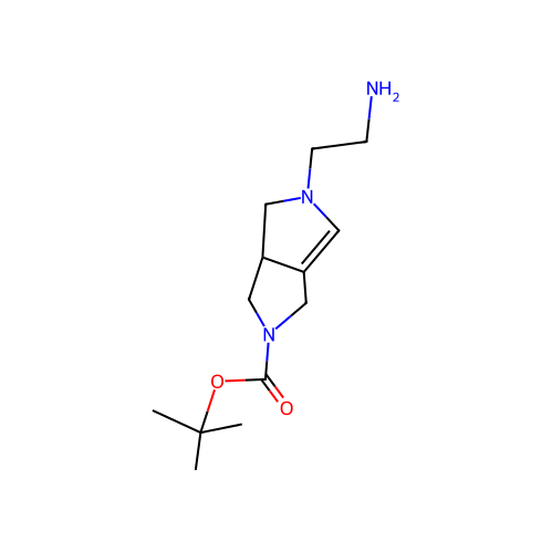 CC(C)(C)OC(=O)N1CC2=CN(CCN)CC2C1